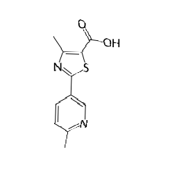 Cc1ccc(-c2nc(C)c(C(=O)O)s2)cn1